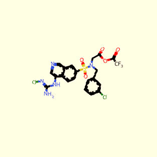 NC(=NCl)Nc1cncc2cc(S(=O)(=O)N(CC(=O)OC(=O)C(F)(F)F)Cc3cccc(Cl)c3)ccc12